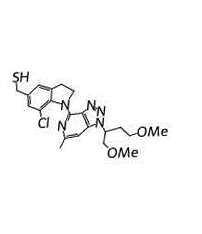 COCCC(COC)n1nnc2c(N3CCc4cc(CS)cc(Cl)c43)nc(C)cc21